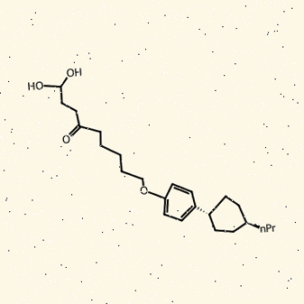 CCC[C@H]1CC[C@H](c2ccc(OCCCCCC(=O)CCC(O)O)cc2)CC1